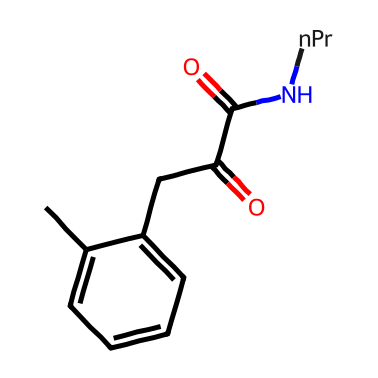 CCCNC(=O)C(=O)Cc1ccccc1C